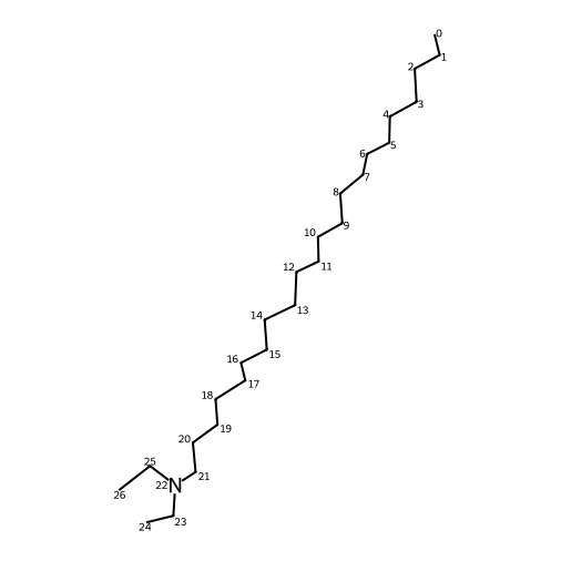 CCCCCCCCCCCCCCCCCCCCCCN(CC)CC